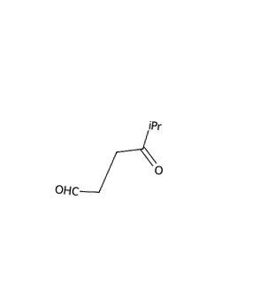 CC(C)C(=O)CCC=O